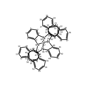 c1ccc2c(c1)N(c1ccnc3ccccc13)[Si]1(N2c2ccnc3ccccc23)N(c2ccnc3ccccc23)c2ccccc2N1c1ccnc2ccccc12